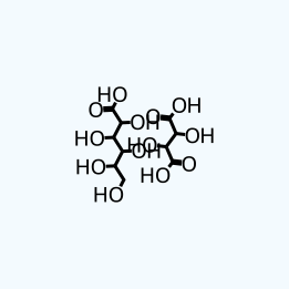 O=C(O)C(O)C(O)C(=O)O.O=C(O)C(O)C(O)C(O)C(O)CO